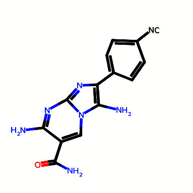 [C-]#[N+]c1ccc(-c2nc3nc(N)c(C(N)=O)cn3c2N)cc1